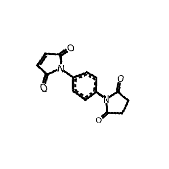 O=C1C=CC(=O)N1c1ccc(N2C(=O)CCC2=O)cc1